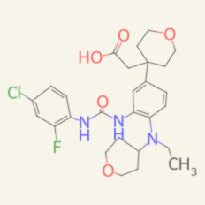 CCN(c1ccc(C2(CC(=O)O)CCOCC2)cc1NC(=O)Nc1ccc(Cl)cc1F)C1CCOCC1